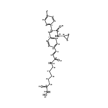 Cc1ccc(C(=Cc2ccc(C=CC(=O)NCCCCCC(=O)NO)cc2)C(=O)NC2CC2)cc1